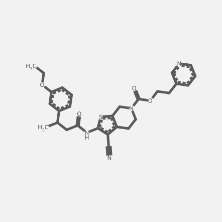 CCOc1cccc(C(C)CC(=O)Nc2sc3c(c2C#N)CCN(C(=O)OCCc2cccnc2)C3)c1